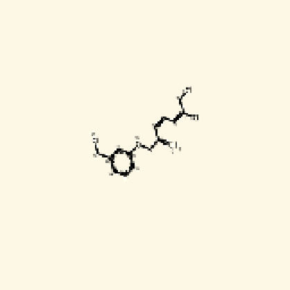 C=C(/C=C\C=C(\Cl)CCl)COc1cccc(CCl)c1